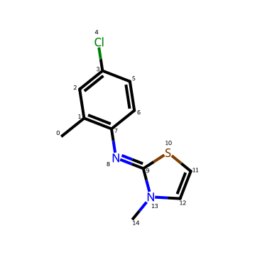 Cc1cc(Cl)ccc1N=c1sccn1C